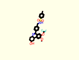 COc1cc2c(cc1OC(F)F)C(c1ccc(CNS(=O)(=O)c3ccc(C)cc3)cc1)=NC1CCC(O)CC21